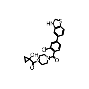 O=C(c1ccc(-c2ccc3c(c2)NCS3)cc1Cl)N1CCN(C(=O)C2(O)CC2)CC1